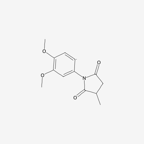 COc1c[c]c(N2C(=O)CC(C)C2=O)cc1OC